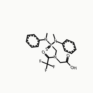 CN(c1ccccc1)P(=S)(CN(CC(=O)O)C(=O)C(F)(F)F)N(C)c1ccccc1